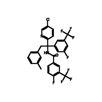 Cc1cccc(CC(NC(=O)c2ccc(F)c(C(F)(F)F)c2)(c2cc(F)cc(C(F)(F)F)c2)c2ccc(Cl)cn2)c1